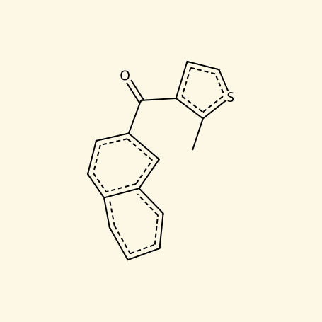 Cc1sccc1C(=O)c1ccc2ccccc2c1